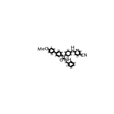 COc1ccc(-c2ccc(N(C(=O)NCc3ccccc3)C3CCC(Nc4ccc(C#N)cn4)CC3)cc2)cc1